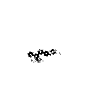 C[C@@H]1CN(Cc2ccc(-c3cncc(-c4cc(-c5ccccn5)nc(C(C)(C)O)c4)c3)cc2)CCN1